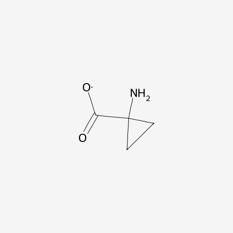 NC1(C([O])=O)CC1